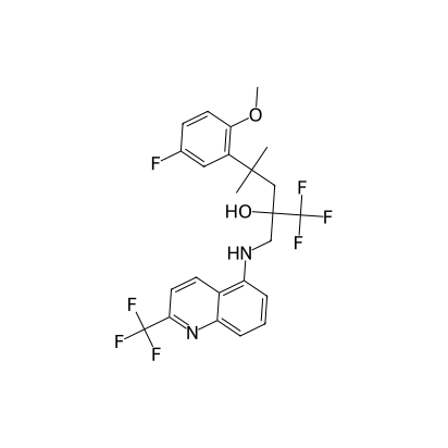 COc1ccc(F)cc1C(C)(C)CC(O)(CNc1cccc2nc(C(F)(F)F)ccc12)C(F)(F)F